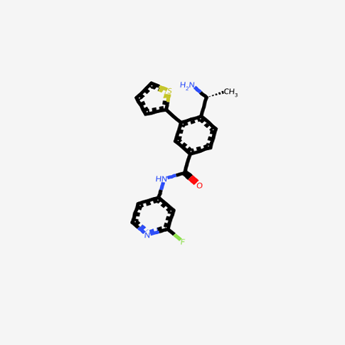 C[C@@H](N)c1ccc(C(=O)Nc2ccnc(F)c2)cc1-c1cccs1